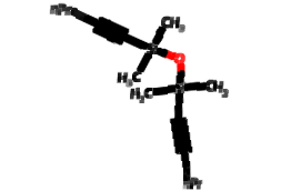 CCCC#C[Si](C)(C)O[Si](C)(C)C#CCCC